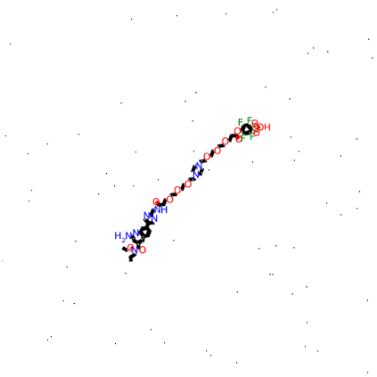 CCCN(OCC)C(=O)C1=Cc2ccc(-c3cnc(CNC(=O)CCOCCOCCOCCN4CCN(CCOCCOCCOCCC(=O)Oc5c(F)c(F)c(S(=O)(=O)O)c(F)c5F)CC4)nc3)cc2N=C(N)C1